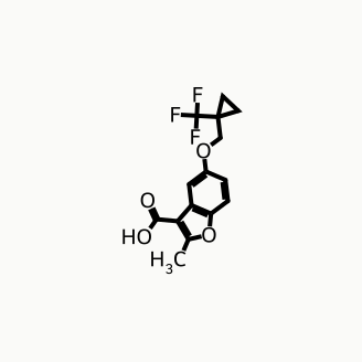 Cc1oc2ccc(OCC3(C(F)(F)F)CC3)cc2c1C(=O)O